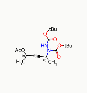 CC(=O)O[C@H](C)C#C[C@@H](C)N(NC(=O)OC(C)(C)C)C(=O)OC(C)(C)C